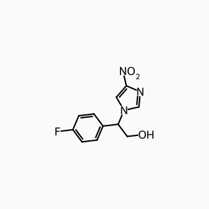 O=[N+]([O-])c1cn(C(CO)c2ccc(F)cc2)cn1